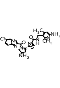 Cc1cc(N)nc(C)c1CNC(=O)c1csc([C@@H]2C[C@@H](N)CN2C(=O)c2cn3cc(Cl)ccc3n2)n1